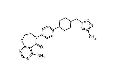 Cc1noc(CC2CCC(c3ccc(N4CCOc5ncnc(N)c5C4=O)cc3)CC2)n1